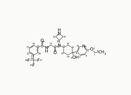 CCOc1ccc(C2(O)CCC(N(C(=O)CNC(=O)c3cccc(C(F)(F)F)c3)C3CNC3)CC2)cn1